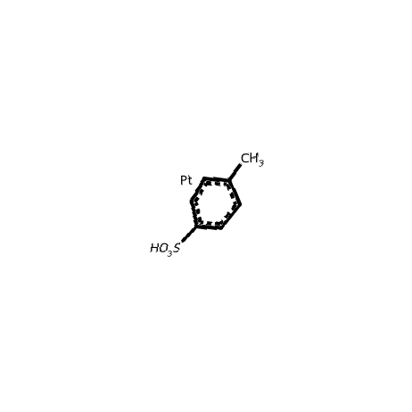 Cc1ccc(S(=O)(=O)O)cc1.[Pt]